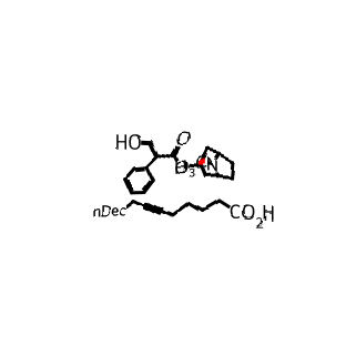 CCCCCCCCCCCC#CCCCCC(=O)O.CN1C2CCC1CC(OC(=O)C(CO)c1ccccc1)C2